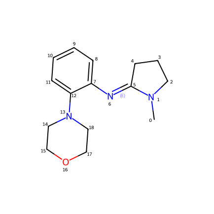 CN1CCC/C1=N\c1ccccc1N1CCOCC1